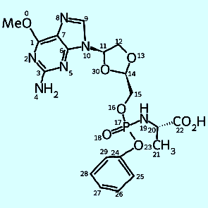 COc1nc(N)nc2c1ncn2[C@H]1CO[C@@H](COP(=O)(N[C@@H](C)C(=O)O)Oc2ccccc2)O1